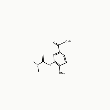 COC(=O)c1ccc(OC)c(OC(=S)N(C)C)c1